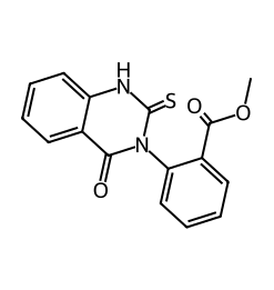 COC(=O)c1ccccc1-n1c(=S)[nH]c2ccccc2c1=O